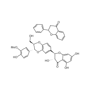 COc1cc([C@H]2Oc3cc([C@H]4Oc5cc(O)cc(O)c5C(=O)[C@@H]4O)ccc3O[C@@H]2CO)ccc1O.O=C1CC(c2ccccc2)Oc2ccccc21